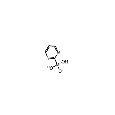 [O-][N+](O)(O)c1ncccn1